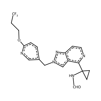 O=CNC1(c2nccc3nn(Cc4ccc(OCCC(F)(F)F)nc4)cc23)CC1